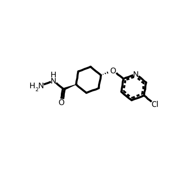 NNC(=O)[C@H]1CC[C@H](Oc2ccc(Cl)cn2)CC1